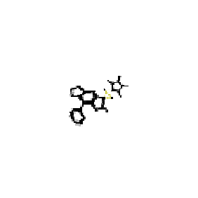 CC1Cc2c(cc3c(c2-c2ccccc2)CCC3)C1S(C)(C)C1C(C)C(C)C(C)C1C